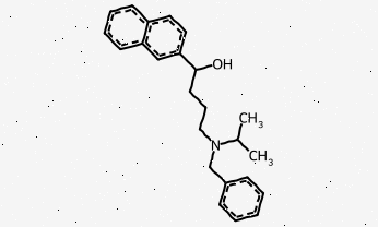 CC(C)N(CCCC(O)c1ccc2ccccc2c1)Cc1ccccc1